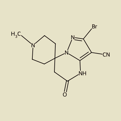 CN1CCC2(CC1)CC(=O)Nc1c(C#N)c(Br)nn12